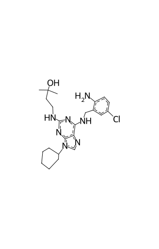 CC(C)(O)CCNc1nc(NCc2cc(Cl)ccc2N)c2ncn(C3CCCCC3)c2n1